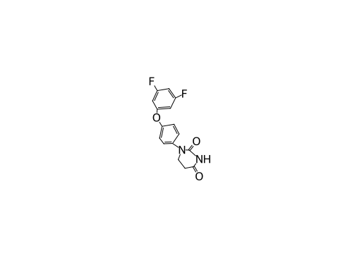 O=C1CCN(c2ccc(Oc3cc(F)cc(F)c3)cc2)C(=O)N1